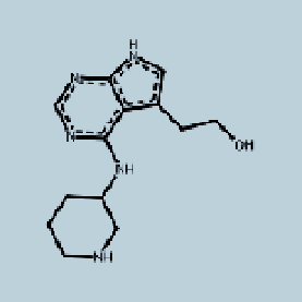 OCCc1c[nH]c2ncnc(NC3CCCNC3)c12